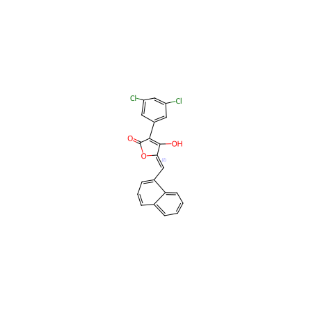 O=C1O/C(=C\c2cccc3ccccc23)C(O)=C1c1cc(Cl)cc(Cl)c1